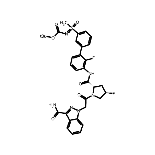 CC(C)(C)OC(=O)N=S(C)(=O)c1cccc(-c2cccc(NC(=O)[C@@H]3C[C@@H](F)CN3C(=O)Cn3nc(C(N)=O)c4ccccc43)c2F)c1